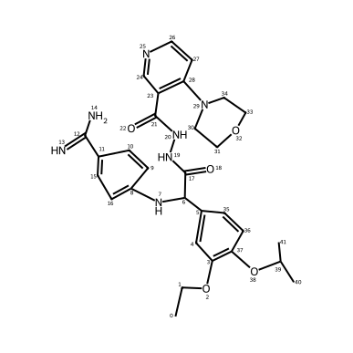 CCOc1cc(C(Nc2ccc(C(=N)N)cc2)C(=O)NNC(=O)c2cnccc2N2CCOCC2)ccc1OC(C)C